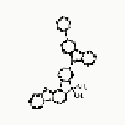 CC1(C)c2cc(-n3c4ccccc4c4cc(-c5ccccc5)ccc43)ccc2-c2c1ccc1c2sc2ccccc21